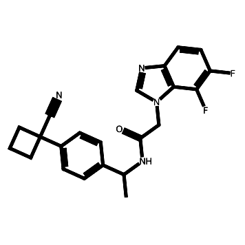 CC(NC(=O)Cn1cnc2ccc(F)c(F)c21)c1ccc(C2(C#N)CCC2)cc1